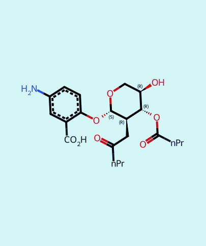 CCCC(=O)C[C@H]1[C@H](Oc2ccc(N)cc2C(=O)O)OC[C@@H](O)[C@@H]1OC(=O)CCC